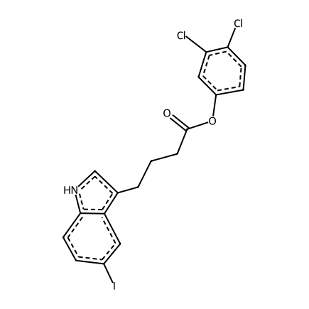 O=C(CCCc1c[nH]c2ccc(I)cc12)Oc1ccc(Cl)c(Cl)c1